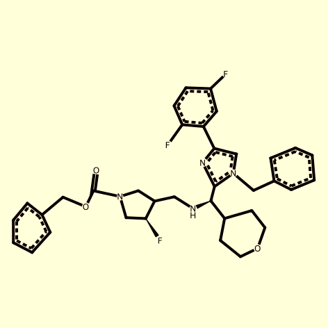 O=C(OCc1ccccc1)N1CC(CN[C@@H](c2nc(-c3cc(F)ccc3F)cn2Cc2ccccc2)C2CCOCC2)[C@@H](F)C1